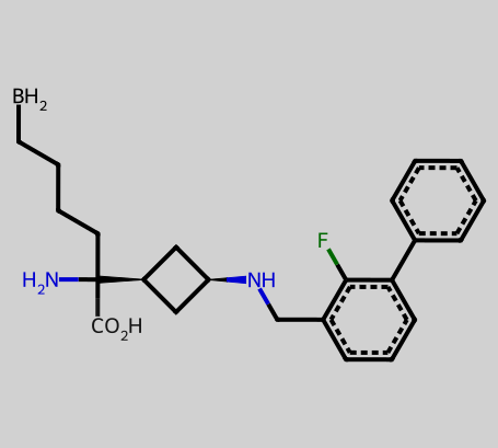 BCCCCC(N)(C(=O)O)[C@H]1C[C@@H](NCc2cccc(-c3ccccc3)c2F)C1